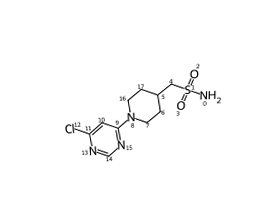 NS(=O)(=O)CC1CCN(c2cc(Cl)ncn2)CC1